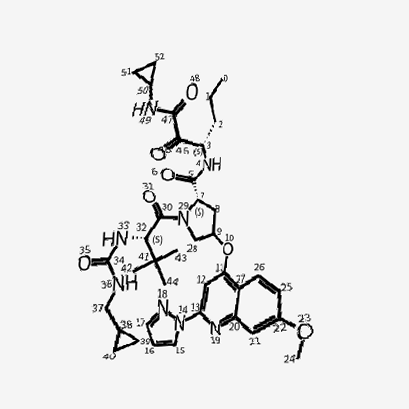 CCC[C@H](NC(=O)[C@@H]1CC(Oc2cc(-n3cccn3)nc3cc(OC)ccc23)CN1C(=O)[C@@H](NC(=O)NCC1CC1)C(C)(C)C)C(=O)C(=O)NC1CC1